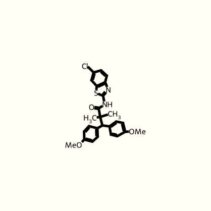 COc1ccc(C(c2ccc(OC)cc2)C(C)(C)C(=O)Nc2nc3ccc(Cl)cc3s2)cc1